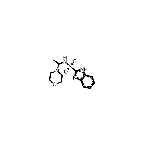 CC(NS(=O)(=O)c1nc2ccccc2[nH]1)N1CCOCC1